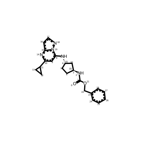 O=C(N[C@H]1CC[C@H](Nc2cc(C3CC3)nc3ccnn23)C1)OCc1ccccc1